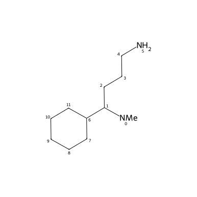 CNC(CCCN)C1CCCCC1